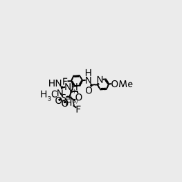 COc1ccc(C(=O)Nc2ccc(F)c([C@]34CO[C@@H](CF)[C@H]3S(=O)(=O)N(C)C(=N)N4)c2)nc1